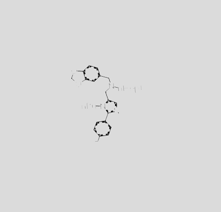 CCCCCCCN(Cc1ccc2c(c1)OCO2)Cc1cnc(-c2ccc(F)cc2)n1CCCC